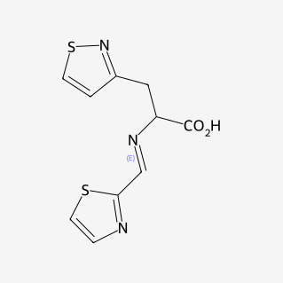 O=C(O)C(Cc1ccsn1)/N=C/c1nccs1